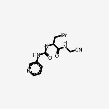 CC(C)CC([N]C(=O)Nc1cccnc1)C(=O)NCC#N